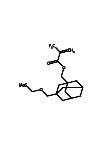 C=C(C(=O)OCC12CC3CC(CC(COCSC)(C3)C1)C2)C(F)(F)F